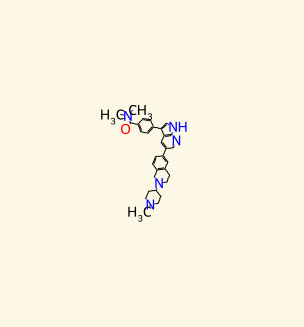 CN1CCC(N2CCc3cc(-c4cnc5[nH]cc(-c6ccc(C(=O)N(C)C)cc6)c5c4)ccc3C2)CC1